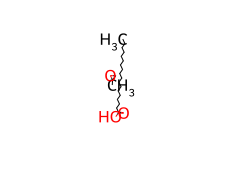 CC1CO1.CCCCCCCCCCCCCCCCCC(=O)O